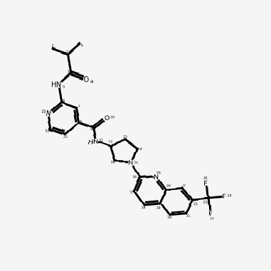 CC(C)C(=O)Nc1cc(C(=O)NC2CCN(c3ccc4ccc(C(F)(F)F)cc4n3)C2)ccn1